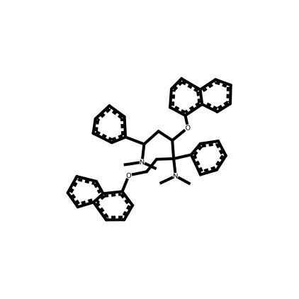 CN(C)C(CC(Oc1cccc2ccccc12)C(CCOc1cccc2ccccc12)(c1ccccc1)N(C)C)c1ccccc1